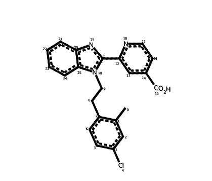 Cc1cc(Cl)ccc1CCn1c(-c2cc(C(=O)O)ccn2)nc2ccccc21